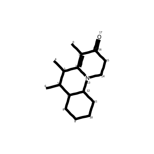 CC1=C2C(C)C(C)C3CCCCC3N2CCC1=O